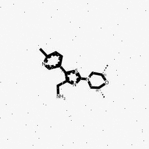 Cc1ccc(-c2sc(N3C[C@@H](C)O[C@@H](C)C3)nc2CN)cn1